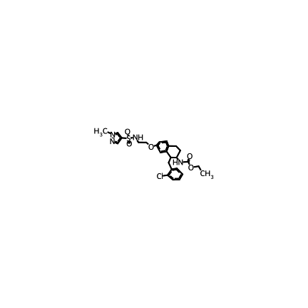 CCOC(=O)NC1CCc2ccc(OCCNS(=O)(=O)c3cnn(C)c3)cc2C1Cc1ccccc1Cl